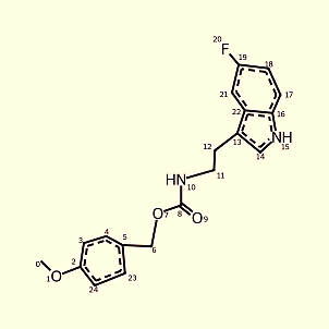 COc1ccc(COC(=O)NCCc2c[nH]c3ccc(F)cc23)cc1